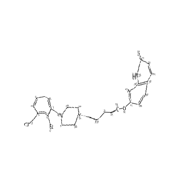 CCc1c(Cl)cccc1N1CCN(CCCCOc2ccc3ccc(=O)[nH]c3n2)CC1